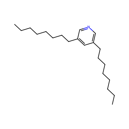 CCCCCCCCc1cncc(CCCCCCCC)c1